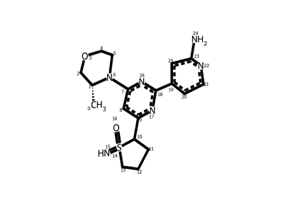 C[C@@H]1COCCN1c1cc(C2CCCS2(=N)=O)nc(-c2ccnc(N)c2)n1